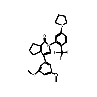 COc1cc(OC)cc(-c2cn(-c3cc(N4CCCC4)ccc3C(F)(F)F)c(=O)c3c2CCC3)c1